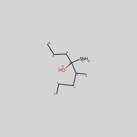 CCCC(C)[C](O)([SbH2])CCC